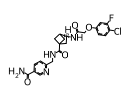 NC(=O)c1ccc(CNC(=O)C23CC(C2)[C@@H](NC(=O)COc2ccc(Cl)c(F)c2)C3)nc1